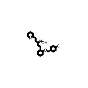 ON=C(C=Cc1ccccn1)C=Cc1ccccc1OCc1ccc(Cl)cc1